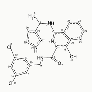 CC(Nc1nc(C(=O)NCc2cc(Cl)cc(Cl)c2)c(O)c2ncccc12)c1c[nH]cn1